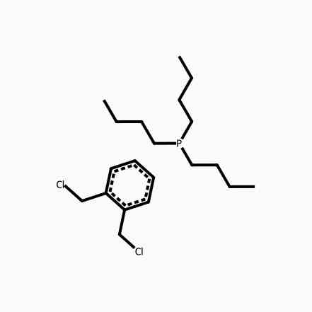 CCCCP(CCCC)CCCC.ClCc1ccccc1CCl